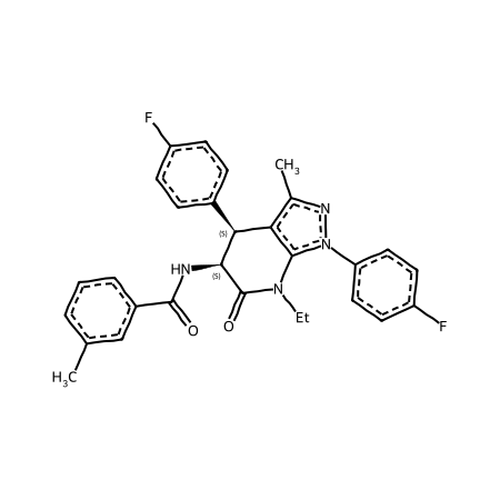 CCN1C(=O)[C@@H](NC(=O)c2cccc(C)c2)[C@@H](c2ccc(F)cc2)c2c(C)nn(-c3ccc(F)cc3)c21